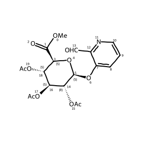 COC(=O)[C@H]1O[C@@H](Oc2cccnc2C=O)[C@H](OC(C)=O)[C@@H](OC(C)=O)[C@@H]1OC(C)=O